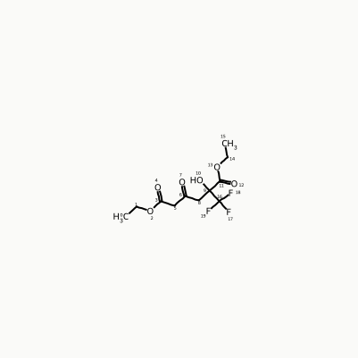 CCOC(=O)CC(=O)CC(O)(C(=O)OCC)C(F)(F)F